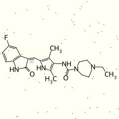 CCN1CCN(C(=O)Nc2c(C)[nH]c(/C=C3\C(=O)Nc4ccc(F)cc43)c2C)CC1